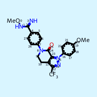 CONC(=N)c1ccc(N2CCc3c(C(F)(F)F)nn(-c4ccc(OC)cc4)c3C2=O)cc1